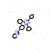 c1ccc(-c2nc(-c3ccccc3)nc(-c3ccccc3-c3cccc(-c4cn5ccccc5n4)c3)n2)cc1